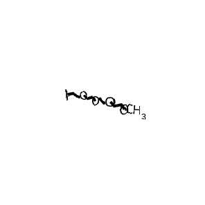 COCCOCCOCCOCCI